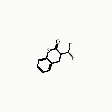 O=C1Sc2ccccc2CC1C(F)F